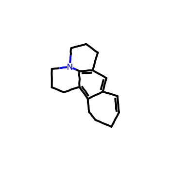 C1=Cc2cc3c4c(c2CCC1)CCCN4CCC3